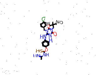 CC(=N)NC(S)Oc1ccc(NC2NC(=O)N(CC(C)(CN=O)CN=O)C(=O)N2Cc2ccc(Cl)cc2)cc1